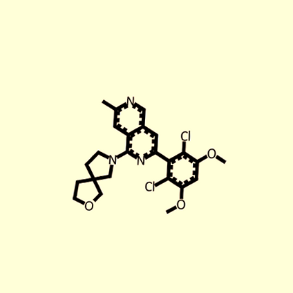 COc1cc(OC)c(Cl)c(-c2cc3cnc(C)cc3c(N3CCC4(CCOC4)C3)n2)c1Cl